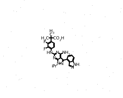 CC(C)n1nc(-c2cccc3[nH]ncc23)c2c(N)nc(Nc3ccc(C(C)(C)C(=O)O)c(F)c3F)nc21